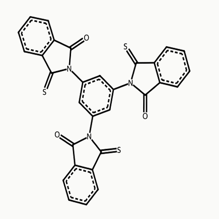 O=C1c2ccccc2C(=S)N1c1cc(N2C(=O)c3ccccc3C2=S)cc(N2C(=O)c3ccccc3C2=S)c1